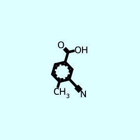 Cc1ccc(C(=O)O)cc1C#N